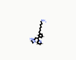 NCCCCCCCc1cccc(C(CC2=NCCN2)c2ccccn2)c1